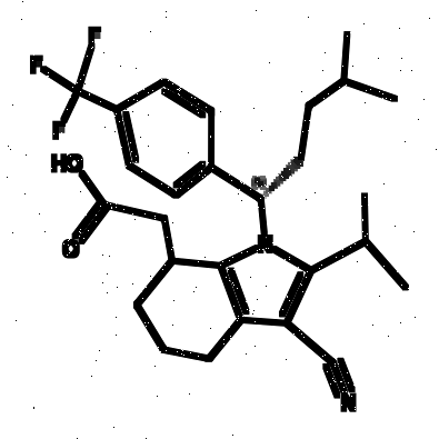 CC(C)CC[C@@H](c1ccc(C(F)(F)F)cc1)n1c(C(C)C)c(C#N)c2c1C(CC(=O)O)CCC2